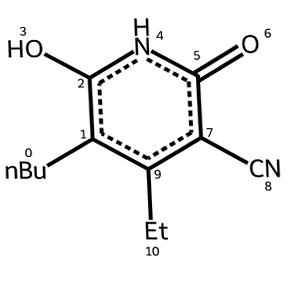 CCCCc1c(O)[nH]c(=O)c(C#N)c1CC